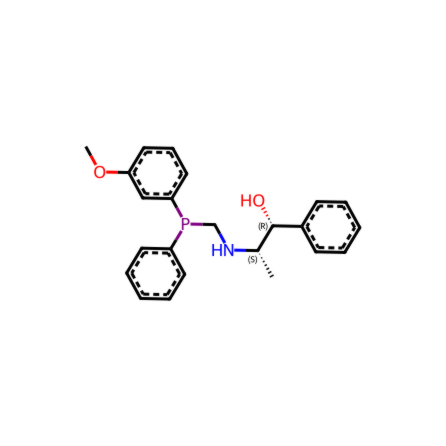 COc1cccc(P(CN[C@@H](C)[C@H](O)c2ccccc2)c2ccccc2)c1